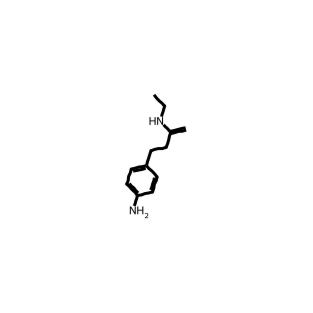 C=C(CCc1ccc(N)cc1)NCC